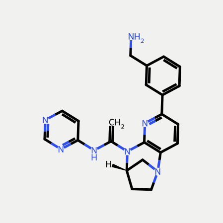 C=C(Nc1ccncn1)N1c2nc(-c3cccc(CN)c3)ccc2N2CC[C@H]1C2